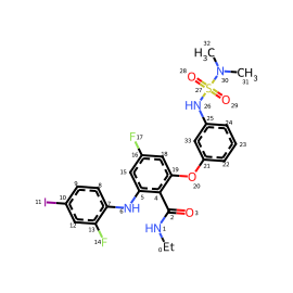 CCNC(=O)c1c(Nc2ccc(I)cc2F)cc(F)cc1Oc1cccc(NS(=O)(=O)N(C)C)c1